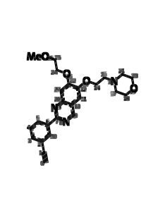 C#Cc1cccc(-c2n[c]c3cc(OCCN4CCOCC4)c(OCCOC)cc3n2)c1